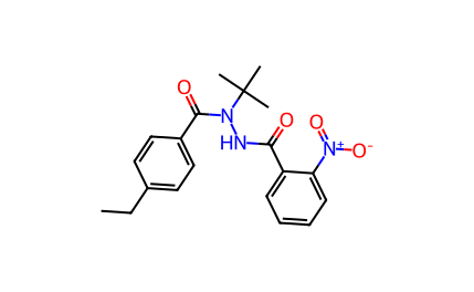 CCc1ccc(C(=O)N(NC(=O)c2ccccc2[N+](=O)[O-])C(C)(C)C)cc1